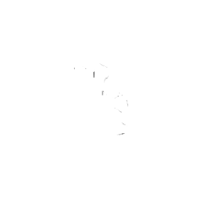 Cc1nc(C)c(-c2ccnc(Nc3cccc([N+](=O)[O-])c3)n2)s1